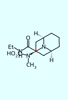 CCNC(=O)CN1[C@@H]2CCC[C@H]1C[C@@H](N(C)C(=O)O)C2